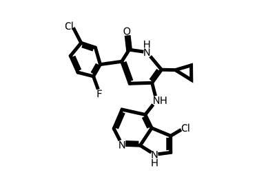 O=c1[nH]c(C2CC2)c(Nc2ccnc3[nH]cc(Cl)c23)cc1-c1cc(Cl)ccc1F